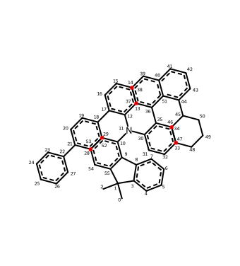 CC1(C)c2ccccc2-c2c(N(c3ccccc3-c3ccc(-c4ccccc4)cc3)c3ccccc3-c3cccc4cccc(C5CCCCC5)c34)cccc21